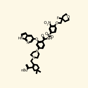 C=C(CCCC)C1=C(CN2CCN(c3ccc(C(=O)NS(=O)(=O)c4ccc(OCC5(F)CCOCC5)c([N+](=O)[O-])c4)c(Oc4cnc5[nH]ccc5c4)c3)CC2)CCC(C)(C)C1